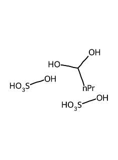 CCCC(O)O.O=S(=O)(O)O.O=S(=O)(O)O